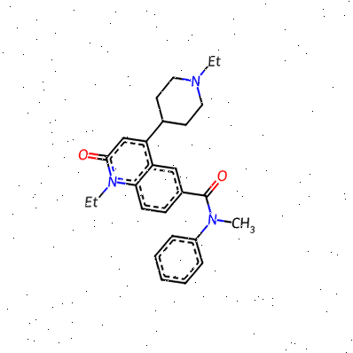 CCN1CCC(c2cc(=O)n(CC)c3ccc(C(=O)N(C)c4ccccc4)cc23)CC1